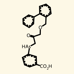 O=C(COCc1ccccc1-c1ccccc1)C[AsH]c1cccc(C(=O)O)c1